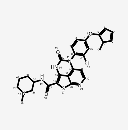 CC1C=CC=C1Oc1ccc(N2C(=O)Nc3c(C(=O)NC4CCCN(C)C4)sc4nccc2c34)c(Cl)c1